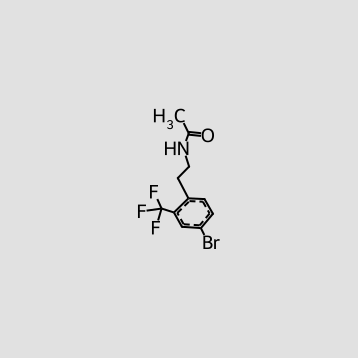 CC(=O)NCCc1ccc(Br)cc1C(F)(F)F